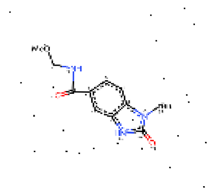 COCNC(=O)c1ccc2c(c1)[nH]c(=O)n2C(C)(C)C